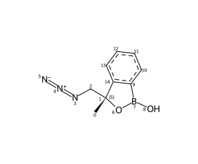 C[C@]1(CN=[N+]=[N-])OB(O)c2ccccc21